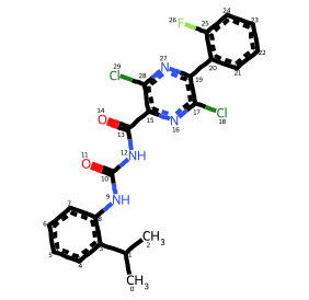 CC(C)c1ccccc1NC(=O)NC(=O)c1nc(Cl)c(-c2ccccc2F)nc1Cl